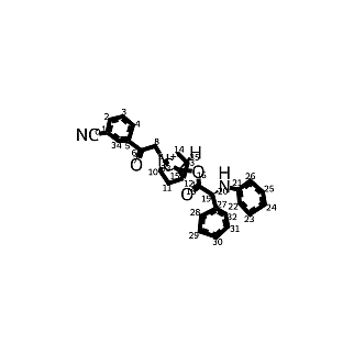 N#Cc1cccc(C(=O)C[N+]23CCC(CC2)[C@@H](OC(=O)[C@H](Nc2ccccc2)c2ccccc2)C3)c1